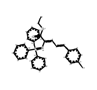 CCOC(=O)C(=CC=Cc1ccc(C)cc1)N=P(c1ccccc1)(c1ccccc1)c1ccccc1